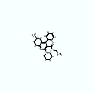 CCOC(=O)c1c(N2CCCCC2)nc2c(c1-c1ccccc1)CC(C)CC2